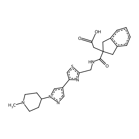 CN1CCC(n2cc(-c3csc(CNC(=O)C4(CC(=O)O)Cc5ccccc5C4)n3)cn2)CC1